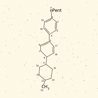 CCCCCc1ccc(C2=CCC(C3CCC(C)CC3)C=C2)cc1